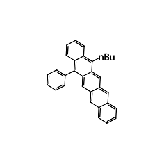 CCCCc1c2ccccc2c(-c2ccccc2)c2cc3cc4ccccc4cc3cc12